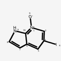 [O-][n+]1cc(I)cc2cc[nH]c21